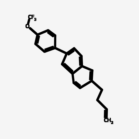 C=CCCc1ccc2cc(-c3ccc(OC(F)(F)F)cc3)ccc2c1